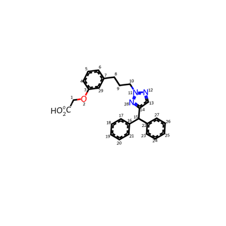 O=C(O)COc1cccc(CCCn2ncc(C(c3ccccc3)c3ccccc3)n2)c1